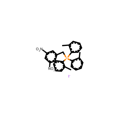 Cc1ccccc1[P+](Cc1cc([N+](=O)[O-])cc([N+](=O)[O-])c1)(c1ccccc1C)c1ccccc1C.[I-]